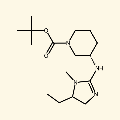 CCC1CN=C(N[C@H]2CCCN(C(=O)OC(C)(C)C)C2)N1C